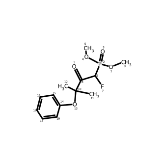 COP(=O)(OC)C(F)C(=O)C(C)(C)Oc1ccccc1